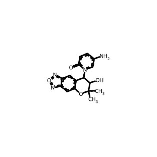 CC1(C)Oc2cc3nonc3cc2C(n2cc(N)ccc2=O)C1O